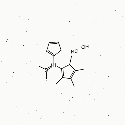 CC1=C(C)C(C)[C]([Hf]([C]2=CC=CC2)=[Si](C)C)=C1C.Cl.Cl